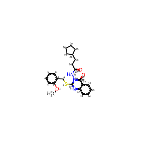 COc1ccccc1CSc1nc2ccccc2c(=O)n1NC(=O)CCC1CCCC1